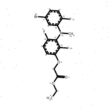 CCOC(=O)COc1ccc(F)c(N(C)c2cc(Br)ccc2F)c1F